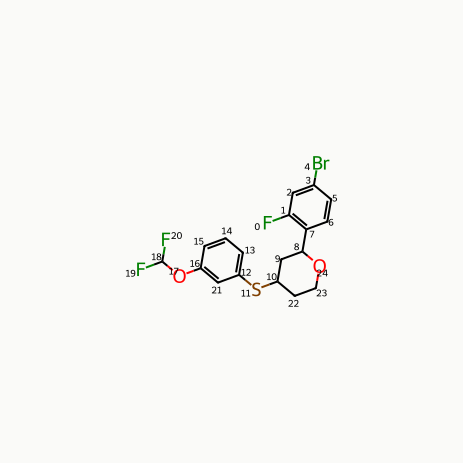 Fc1cc(Br)ccc1C1CC(Sc2cccc(OC(F)F)c2)CCO1